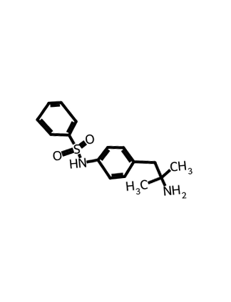 CC(C)(N)Cc1ccc(NS(=O)(=O)c2ccccc2)cc1